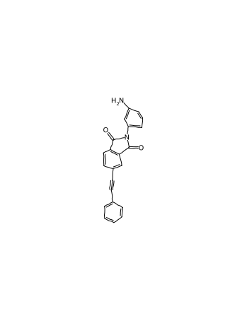 Nc1cccc(N2C(=O)c3ccc(C#Cc4ccccc4)cc3C2=O)c1